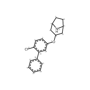 Clc1ccc(OC2CC3CCC(C2)N3)cc1-c1ccccc1